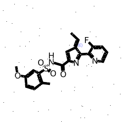 C/C=C1\C=C(C(=O)NS(=O)(=O)c2cc(OC)ccc2C)N=C1c1ncccc1F